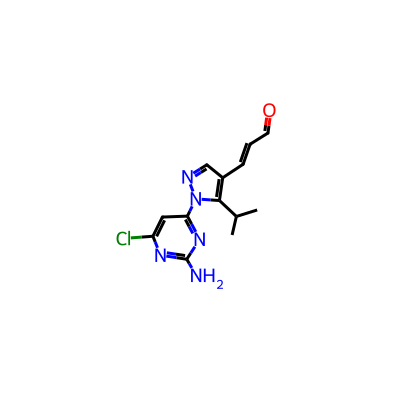 CC(C)c1c(C=CC=O)cnn1-c1cc(Cl)nc(N)n1